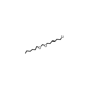 [Li][CH2]CC=CCCOCOCCCCCC